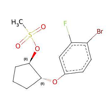 CS(=O)(=O)O[C@@H]1CCC[C@H]1Oc1ccc(Br)c(F)c1